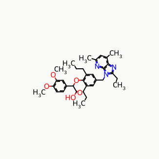 CCCc1cc(Cn2c(CC)nc3c(C)cc(C)nc32)cc(CCC)c1OC(C(=O)O)c1ccc(OC)c(OC)c1